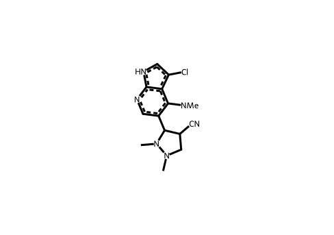 CNc1c(C2C(C#N)CN(C)N2C)cnc2[nH]cc(Cl)c12